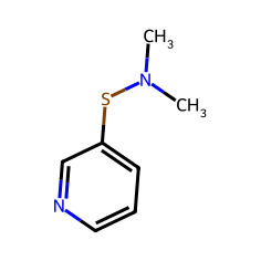 CN(C)Sc1cccnc1